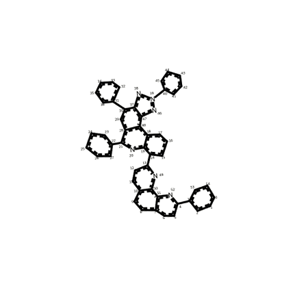 c1ccc(-c2ccc3ccc4ccc(-c5cccc6c5nc(-c5ccccc5)c5cc(-c7ccccc7)c7nn(-c8ccccc8)nc7c56)nc4c3n2)cc1